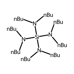 CCCCN(CCCC)[Si](N(CCCC)CCCC)(N(CCCC)CCCC)N(CCCC)CCCC